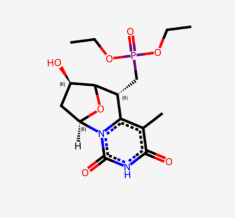 CCOP(=O)(C[C@@H]1c2c(C)c(=O)[nH]c(=O)n2[C@H]2C[C@@H](O)C1O2)OCC